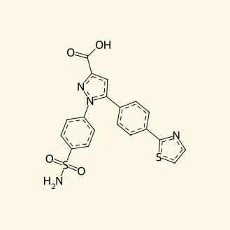 NS(=O)(=O)c1ccc(-n2nc(C(=O)O)cc2-c2ccc(-c3nccs3)cc2)cc1